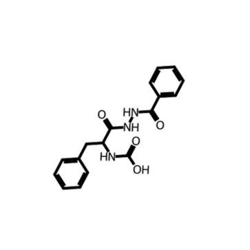 O=C(O)NC(Cc1ccccc1)C(=O)NNC(=O)c1ccccc1